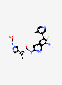 Cc1ccncc1-c1cc2cc(NC(=O)[C@@H]3[C@@H](C)[C@H]3c3cnn(CCO)c3)ncc2c(N)c1F